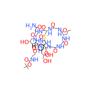 CC[C@H](C)[C@@H]1NC(=O)CNC(=O)C2Cc3c([nH]c4cc(OCCNC(=O)OC(C)(C)C)ccc34)[S@+]([O-])CC(NC(=O)CNC1=O)C(=O)N[C@@H](CC(N)=O)C(=O)N1CC(O)C[C@H]1C(=O)N[C@@H]([C@@H](C)[C@@H](O)CO)C(=O)N2